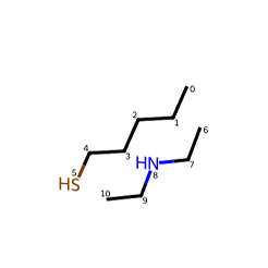 CCCCCS.CCNCC